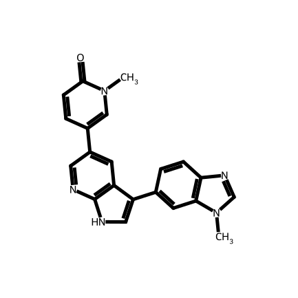 Cn1cc(-c2cnc3[nH]cc(-c4ccc5ncn(C)c5c4)c3c2)ccc1=O